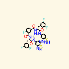 CN(C(=O)[C@H](Cc1cc(F)cc(F)c1)NC(=O)c1ccc(F)c(C(=O)N[C@@H](Cc2cc(F)cc(F)c2)C(=O)N(C)c2ccc3snnc3c2)c1)c1ccc2c(c1)NNS2